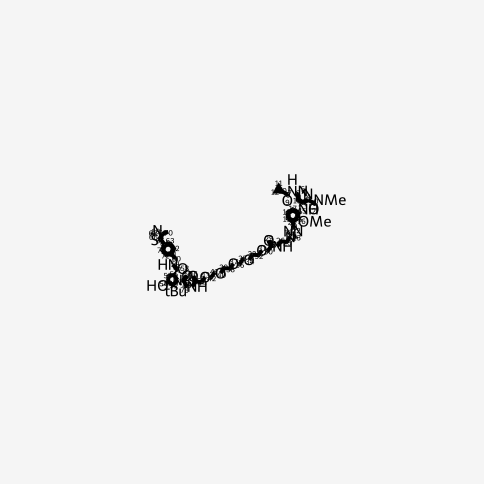 CNC(=O)c1nnc(NC(=O)C2CC2)cc1Nc1cccc(-c2ncn(CCNC(=O)COCCOCCOCCOCCOCC(=O)N[C@H](C(=O)N3C[C@H](O)C[C@H]3C(=O)NCc3ccc(-c4scnc4C)cc3)C(C)(C)C)n2)c1OC